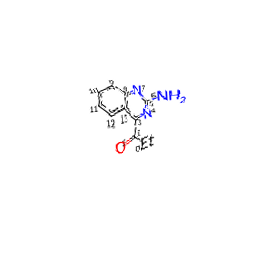 CCC(=O)c1nc(N)nc2ccccc12